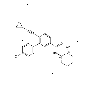 O=C(N[C@@H]1CCCC[C@H]1O)c1cnc(C#CC2CC2)c(-c2ccc(Cl)cc2)c1